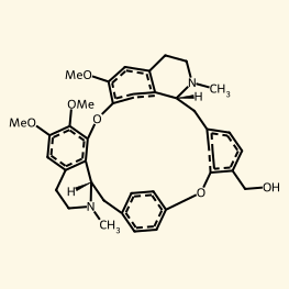 COc1cc2c3cc1Oc1c(OC)c(OC)cc4c1[C@H](Cc1ccc(cc1)Oc1cc(ccc1CO)C[C@H]3N(C)CC2)N(C)CC4